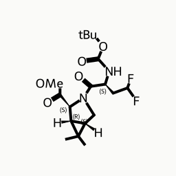 COC(=O)[C@@H]1[C@@H]2[C@H](CN1C(=O)[C@H](CC(F)F)NC(=O)OC(C)(C)C)C2(C)C